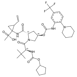 C=CC1CC1(NC(=O)[C@@H]1C[C@@H](OC(=O)Nc2cc(C(F)(F)F)ccc2N2CCCCC2)CN1C(=O)[C@@H](NC(=O)OC1CCCC1)C(C)(C)C)P(C)(=O)O